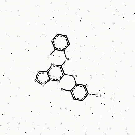 Oc1ccc(F)c(Nc2nc3nonc3nc2Nc2ccccc2F)c1